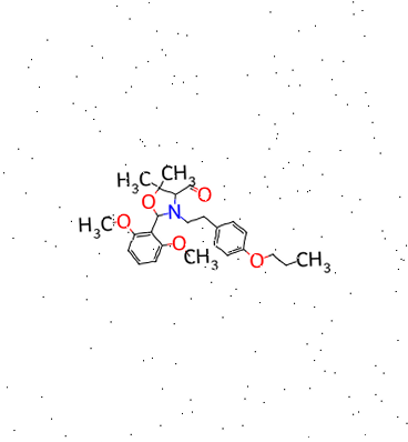 CCCOc1ccc(CCN2C(c3c(OC)cccc3OC)OC(C)(C)C2C=O)cc1